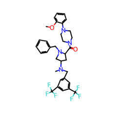 COc1ccccc1N1CCN(C(=O)C2CC(N(C)Cc3cc(C(F)(F)F)cc(C(F)(F)F)c3)CN2Cc2ccccc2)CC1